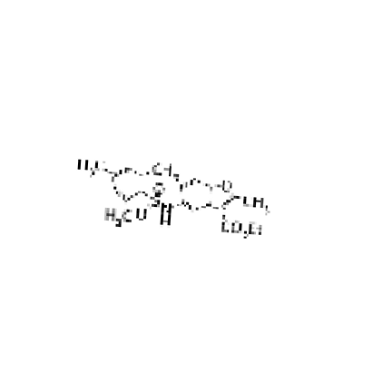 CCOC(=O)c1c(C)oc2ccc(NS(=O)(=O)c3c(C)cc(C)cc3C)cc12